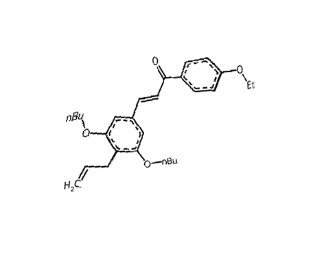 C=CCc1c(OCCCC)cc(C=CC(=O)c2ccc(OCC)cc2)cc1OCCCC